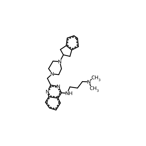 CN(C)CCCNc1nc(CN2CCN(C3Cc4ccccc4C3)CC2)nc2ccccc12